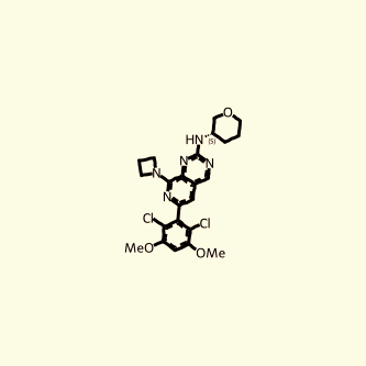 COc1cc(OC)c(Cl)c(-c2cc3cnc(N[C@H]4CCCOC4)nc3c(N3CCC3)n2)c1Cl